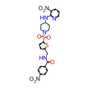 O=C(NCc1ccc(S(=O)(=O)N2CCC(Nc3ncccc3[N+](=O)[O-])CC2)s1)c1ccc([N+](=O)[O-])cc1